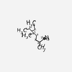 CCS(C)(CC)CCC(C)C#N